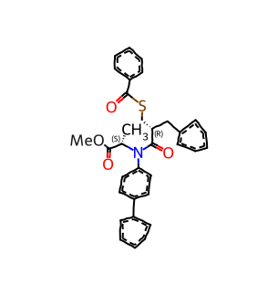 COC(=O)[C@H](C)N(C(=O)[C@H](CSC(=O)c1ccccc1)Cc1ccccc1)c1ccc(-c2ccccc2)cc1